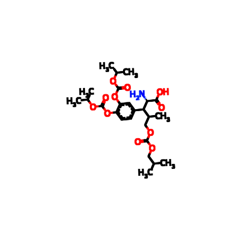 CC(C)COC(=O)OCC(C)C(c1ccc(OC(=O)OC(C)C)c(OC(=O)OC(C)C)c1)[C@H](N)C(=O)O